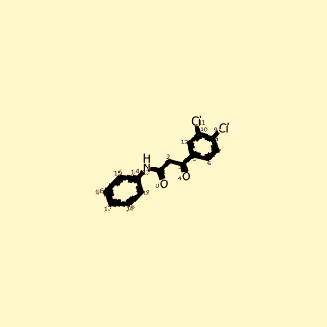 O=C(CC(=O)c1ccc(Cl)c(Cl)c1)Nc1ccccc1